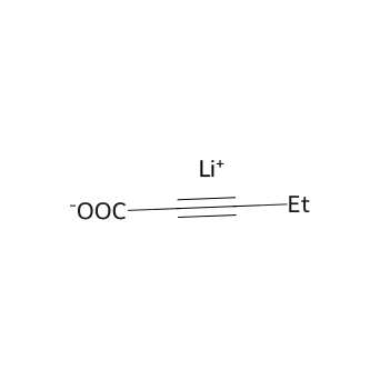 CCC#CC(=O)[O-].[Li+]